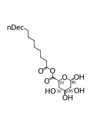 CCCCCCCCCCCCCCCCCC(=O)OC(=O)[C@H]1O[C@@H](O)[C@H](O)[C@@H](O)[C@@H]1O